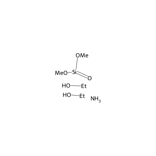 CCO.CCO.CO[Si](=O)OC.N